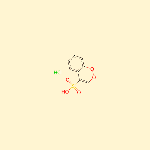 Cl.O=S(=O)(O)C1=COOc2ccccc21